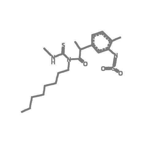 CCCCCCCCN(C(=O)C(C)c1ccc(C)c(N=S(=O)=O)c1)C(=S)NC